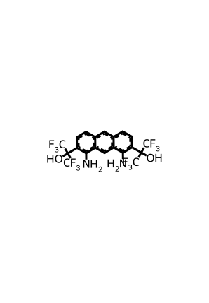 Nc1c(C(O)(C(F)(F)F)C(F)(F)F)ccc2cc3ccc(C(O)(C(F)(F)F)C(F)(F)F)c(N)c3cc12